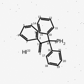 C=C(c1ccccc1)C(P)(c1ccccc1)c1ccccc1.I